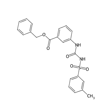 Cc1cccc(S(=O)(=O)NC(=O)Nc2cccc(C(=O)OCc3ccccc3)c2)c1